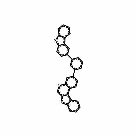 c1cc(-c2ccc3c(c2)ncc2sc4ccccc4c23)cc(-c2ccc3sc4ccccc4c3c2)c1